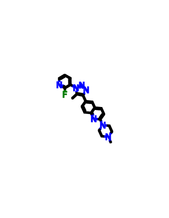 Cc1c(-c2ccc3nc(N4CCN(C)CC4)ccc3c2)nnn1-c1cccnc1F